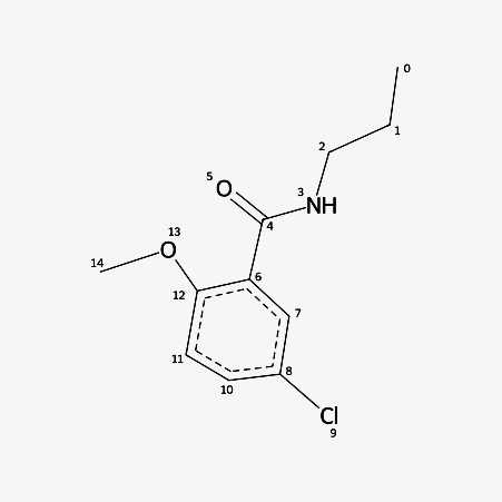 CCCNC(=O)c1cc(Cl)ccc1OC